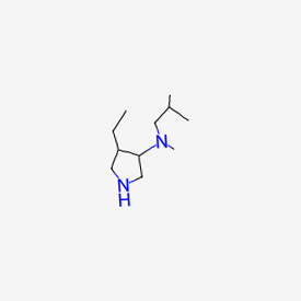 CCC1CNCC1N(C)CC(C)C